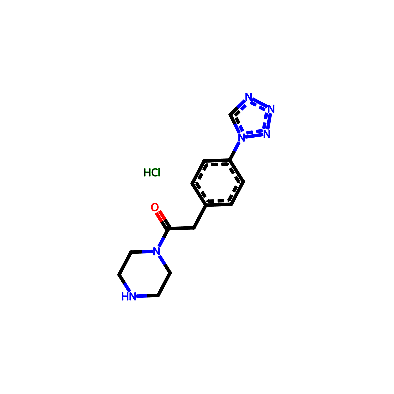 Cl.O=C(Cc1ccc(-n2cnnn2)cc1)N1CCNCC1